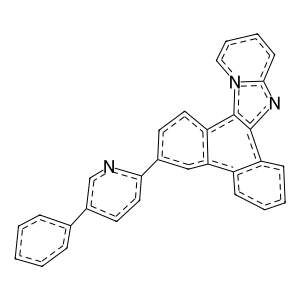 c1ccc(-c2ccc(-c3ccc4c(c3)c3ccccc3c3nc5ccccn5c43)nc2)cc1